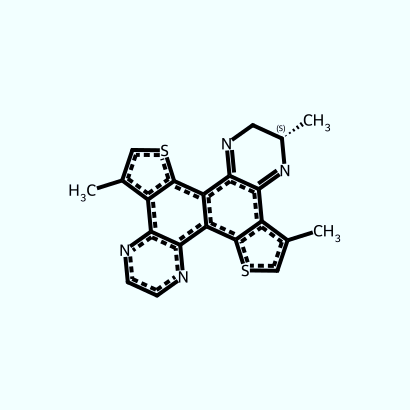 Cc1csc2c1c1c(c3c4scc(C)c4c4nccnc4c23)=NC[C@H](C)N=1